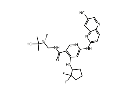 CC(C)(O)[C@H](F)CNC(=O)c1cnc(Nc2ccc3ncc(C#N)cc3n2)cc1NC1CCCC1(F)F